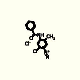 Cc1cc([N+]#N)c(Cl)cc1NC(=O)c1ccccc1.[Cl-]